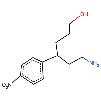 NCCC(CCCO)c1ccc([N+](=O)[O-])cc1